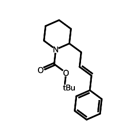 CC(C)(C)OC(=O)N1CCCCC1CC=Cc1ccccc1